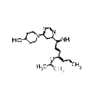 C=C/C=C(\C=C\C(=N)C1CC(N2CCC(O)CC2)=NC=N1)OC(C)C